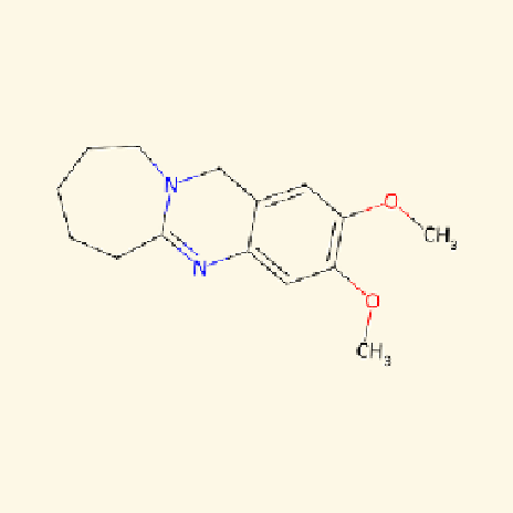 COc1cc2c(cc1OC)N=C1CCCCCN1C2